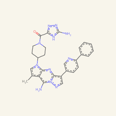 Cc1cn(C2CCN(C(=O)c3nnc(N)[nH]3)CC2)c2nc3c(-c4ccc(-c5ccccc5)nc4)cnn3c(N)c12